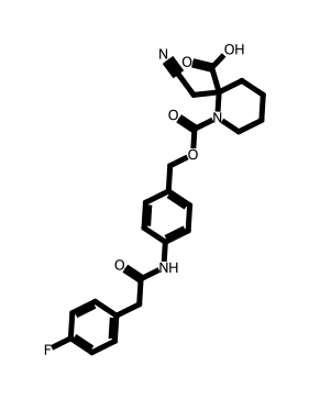 N#CCC1(C(=O)O)CCCCN1C(=O)OCc1ccc(NC(=O)Cc2ccc(F)cc2)cc1